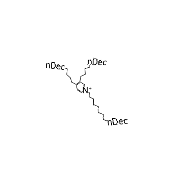 CCCCCCCCCCCCCCCCCC[n+]1ccc(CCCCCCCCCCCCCC)c(CCCCCCCCCCCCCC)c1